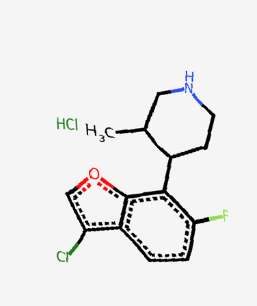 CC1CNCCC1c1c(F)ccc2c(Cl)coc12.Cl